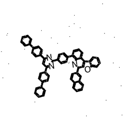 c1ccc(-c2ccc(-c3cc(-c4ccc(-c5ccccc5)cc4)nc(-c4ccc(-c5cccc6c5nc(-c5ccc7ccccc7c5)c5oc7ccccc7c56)cc4)n3)cc2)cc1